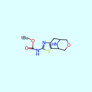 CC(C)(C)OC(=O)Nc1nc2c(s1)C1COCC(C2)N1